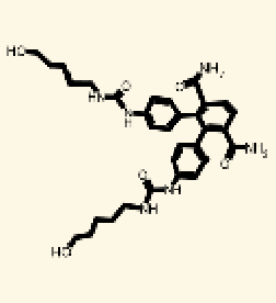 NC(=O)c1ccc(C(N)=O)c(-c2ccc(NC(=O)NCCCCCO)cc2)c1-c1ccc(NC(=O)NCCCCCO)cc1